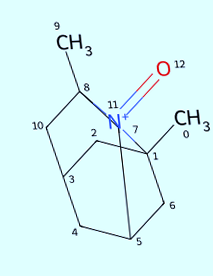 CC12CC3CC(C1)CC(C)(C3)[N+]2=O